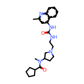 Cc1cc(NC(=O)NCCN2CCC(N(C)C(=O)C3CCCC3)C2)c2ccccc2n1